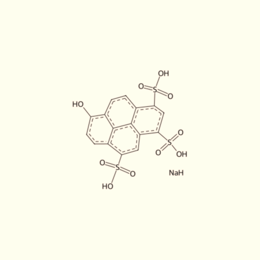 O=S(=O)(O)c1cc2c(S(=O)(=O)O)cc(S(=O)(=O)O)c3ccc4c(O)ccc1c4c32.[NaH]